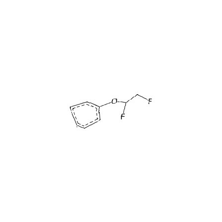 FCC(F)Oc1cc[c]cc1